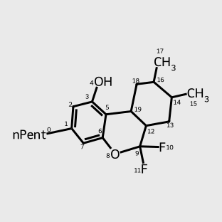 CCCCCc1cc(O)c2c(c1)OC(F)(F)C1CC(C)C(C)CC21